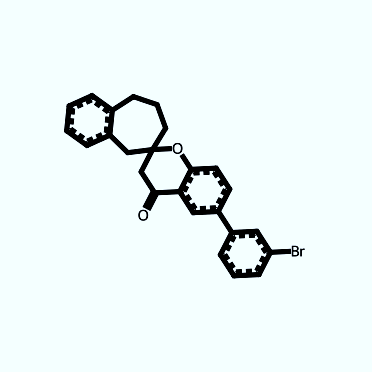 O=C1CC2(CCCc3ccccc3C2)Oc2ccc(-c3cccc(Br)c3)cc21